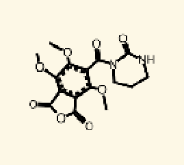 COc1c(OC)c2c(c(OC)c1C(=O)N1CCCNC1=O)C(=O)OC2=O